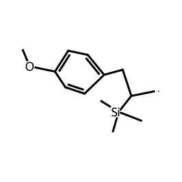 [CH2]C(Cc1ccc(OC)cc1)[Si](C)(C)C